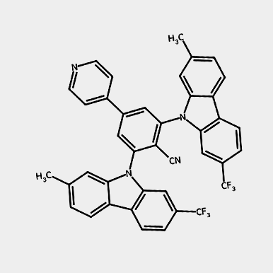 Cc1ccc2c3ccc(C(F)(F)F)cc3n(-c3cc(-c4ccncc4)cc(-n4c5cc(C)ccc5c5ccc(C(F)(F)F)cc54)c3C#N)c2c1